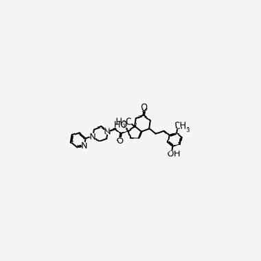 Cc1ccc(O)cc1CCC1CC(=O)CC2(C)C1CCC2(O)C(=O)CN1CCN(c2ccccn2)CC1